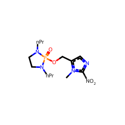 CCCN1CCN(CCC)P1(=O)OCc1cnc([N+](=O)[O-])n1C